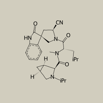 CC(C)C[C@@H](C(=O)N1C[C@]2(C[C@H]1C#N)C(=O)Nc1ccccc12)N(C)C(=O)[C@@H]1[C@@H]2C[C@@H]2CN1C(C)C